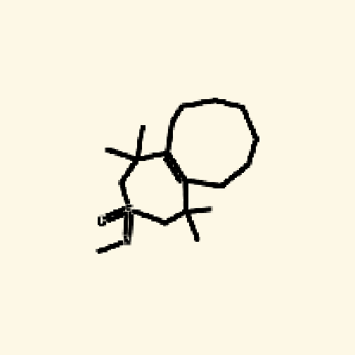 CN=S1(=O)CC(C)(C)C2=C(CCCCCCC2)C(C)(C)C1